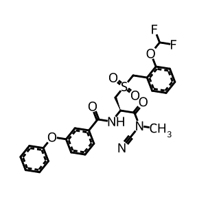 CN(C#N)C(=O)[C@H](CS(=O)(=O)Cc1ccccc1OC(F)F)NC(=O)c1cccc(Oc2ccccc2)c1